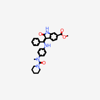 COC(=O)c1ccc2c(c1)NC(=O)C2=C(Nc1ccc(N(C)C(=O)N2CCCCC2)cc1)c1ccccc1